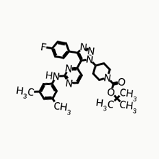 Cc1cc(C)cc(Nc2nccc(-c3c(-c4ccc(F)cc4)nnn3C3CCN(C(=O)OC(C)(C)C)CC3)n2)c1